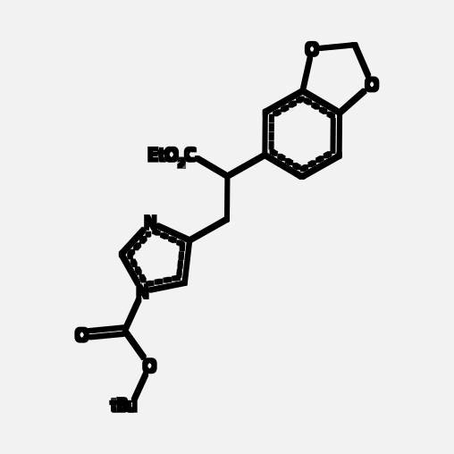 CCOC(=O)C(Cc1cn(C(=O)OC(C)(C)C)cn1)c1ccc2c(c1)OCO2